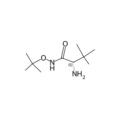 CC(C)(C)ONC(=O)[C@@H](N)C(C)(C)C